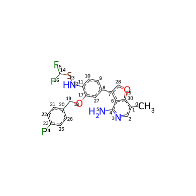 Cc1cnc(N)c2c(-c3ccc(NSC(F)F)c(OCc4ccc(F)cc4)c3)coc12